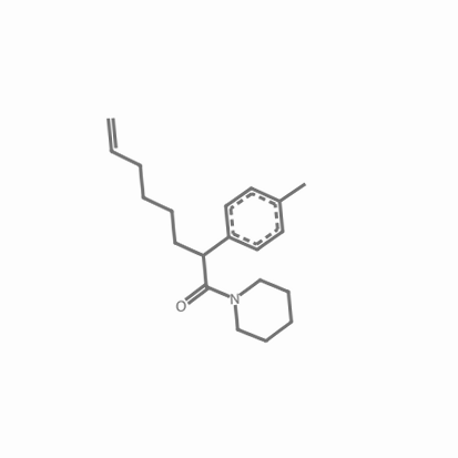 C=CCCCCC(C(=O)N1CCCCC1)c1ccc(C)cc1